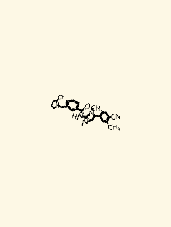 Cc1cc(-c2cnc(NC(=O)c3cccc(CN4CCCC4=O)c3)n2C)ccc1C#N